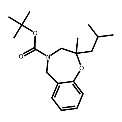 CC(C)CC1(C)CN(C(=O)OC(C)(C)C)Cc2ccccc2O1